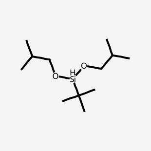 CC(C)CO[SiH](OCC(C)C)C(C)(C)C